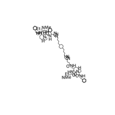 CC[C@H](NC)C(=O)N[C@@H]1C(=O)N2[C@@H](CC[C@@H]1CNC(=O)CCc1cn(CCCCC3CCC(CCCCn4cc([C@@H](NC(=O)[C@@H]5CC[C@@H]6CC[C@H](CNCc7ccccc7)[C@H](NC(O)[C@H](CC)NC)C(=O)N65)c5ccccc5)nn4)CC3)nn1)CC[C@H]2C(=O)NCc1ccccc1